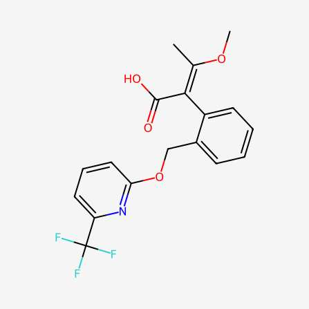 COC(C)=C(C(=O)O)c1ccccc1COc1cccc(C(F)(F)F)n1